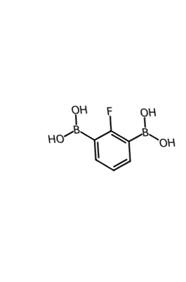 OB(O)c1cccc(B(O)O)c1F